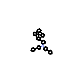 c1ccc(-c2ccc(N(c3ccc(-c4ccccc4)cc3)c3cccc(-c4ccc5c(c4)C4(c6ccccc6-c6ccccc64)c4ccccc4-5)c3)cc2)cc1